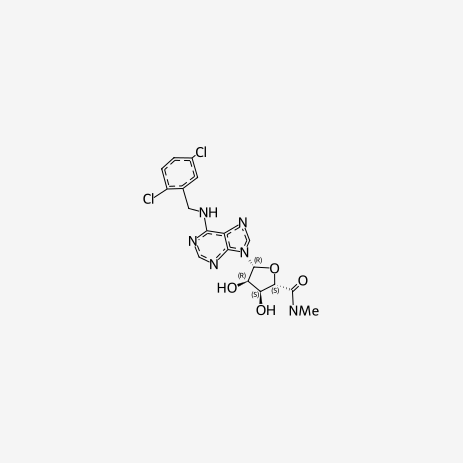 CNC(=O)[C@H]1O[C@@H](n2cnc3c(NCc4cc(Cl)ccc4Cl)ncnc32)[C@H](O)[C@@H]1O